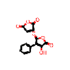 O=C1C=CC(=O)O1.O=C1OC(=O)C(c2ccccc2)=C1O